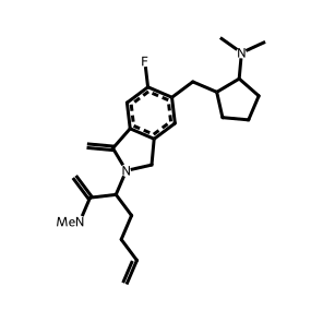 C=CCCC(C(=C)NC)N1Cc2cc(CC3CCCC3N(C)C)c(F)cc2C1=C